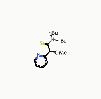 CCCCN(CCCC)C(=S)C(OC)c1ccccn1